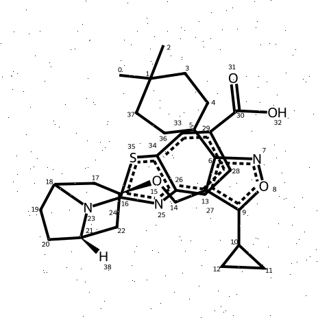 CC1(C)CCC(c2noc(C3CC3)c2CO[C@@H]2CC3CC[C@@H](C2)N3c2nc3ccc(C(=O)O)cc3s2)CC1